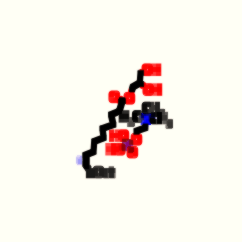 CCCCCCCC/C=C\CCCCCCCC(=O)OCC(O)CO.C[N+](C)(C)CCOP(=O)(O)O